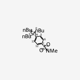 CCC[CH2][Sn]([CH2]CCC)([CH2]CCC)[c]1ccc(S(=O)(=O)NC)cc1